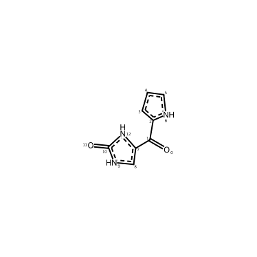 O=C(c1ccc[nH]1)c1c[nH]c(=O)[nH]1